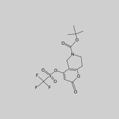 CC(C)(C)OC(=O)N1CCc2oc(=O)cc(OS(=O)(=O)C(F)(F)F)c2C1